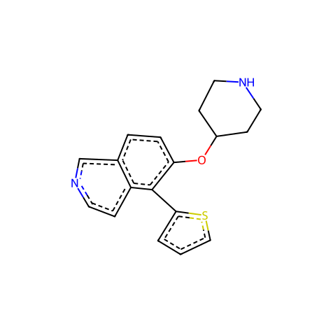 c1csc(-c2c(OC3CCNCC3)ccc3cnccc23)c1